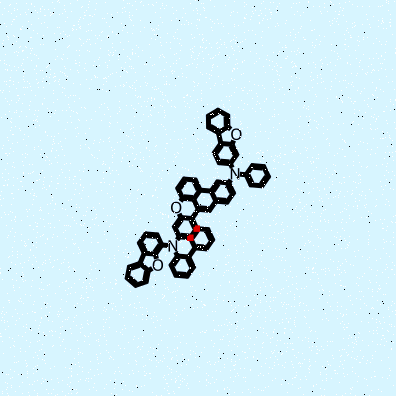 c1ccc(-c2ccccc2N(c2ccc3c(c2)Oc2cccc4c2c-3cc2ccc(N(c3ccccc3)c3ccc5c(c3)oc3ccccc35)cc24)c2cccc3c2oc2ccccc23)cc1